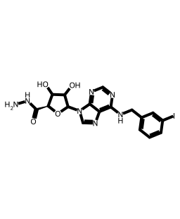 NNC(=O)[C@@H]1OC(n2cnc3c(NCc4cccc(I)c4)ncnc32)C(O)C1O